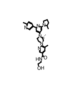 Cc1ccc(-c2cc(N3CCN(c4ncc(C(=O)NCCO)cc4C)C[C@H]3C)cc(N3CCCC3C)n2)cn1